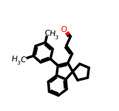 Cc1cc(C)cc(C2=C(/C=C/C=O)C3(CCCC3)c3ccccc32)c1